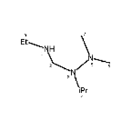 CCNCN(C(C)C)N(C)C